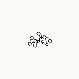 CC1(c2ccccc2-c2ccc(N(c3ccccc3)c3ccc4c(c3)C3(c5ccccc5C4)c4ccccc4-c4ccccc43)cc2)c2ccccc2-c2ccccc21